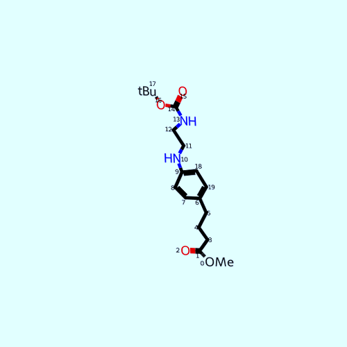 COC(=O)CCCc1ccc(NCCNC(=O)OC(C)(C)C)cc1